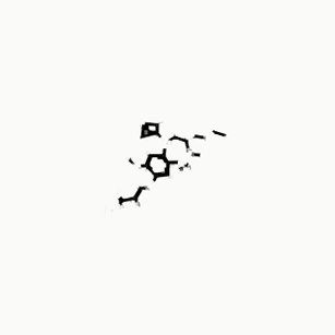 CCOC[C@@H]1CN(C23CC(C2)C3)c2cc(SC)c(O/C=C(\F)C(=O)O)cc2S(=O)(=O)N1C